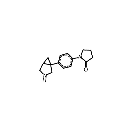 O=C1CCCN1c1ccc(C23CNCC2C3)cc1